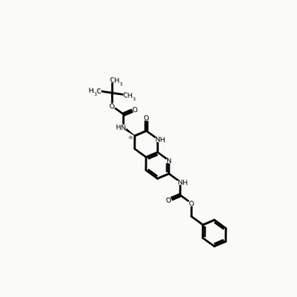 CC(C)(C)OC(=O)N[C@@H]1Cc2ccc(NC(=O)OCc3ccccc3)nc2NC1=O